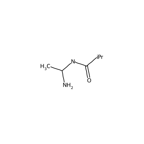 CC(N)[N]C(=O)C(C)C